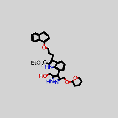 CCOC(=O)c1[nH]c2c(-c3c(COC4CCCCO4)n[nH]c3CO)cccc2c1CCCOc1cccc2ccccc12